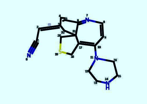 N#C/C=C1/C=CC2=NC=CC(N3CCNCC3)=C3CSCC23C1